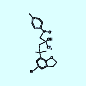 Cc1ccc([S+]([O-])CC(O)(CC(C)(C)c2cc(Br)cc3c2OCC3)C(F)(F)F)cc1